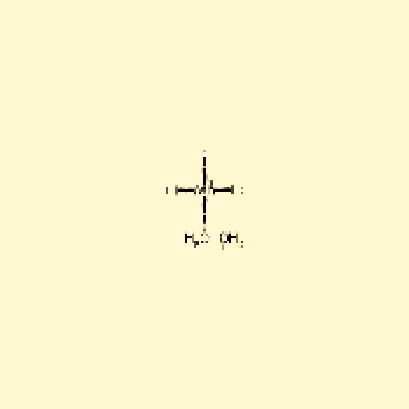 O.O.[I][Mn]([I])([I])[I]